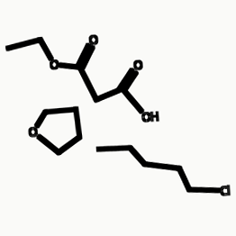 C1CCOC1.CCCCCCl.CCOC(=O)CC(=O)O